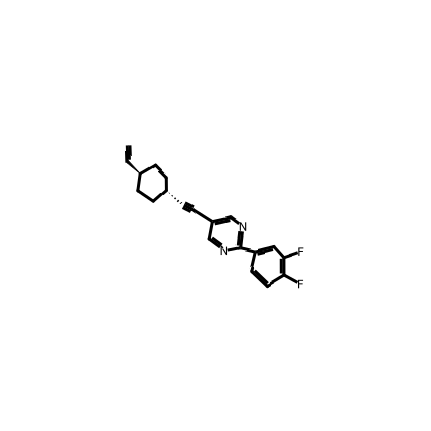 C=C[C@H]1CC[C@H](C#Cc2cnc(-c3ccc(F)c(F)c3)nc2)CC1